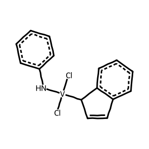 [Cl][V]([Cl])([NH]c1ccccc1)[CH]1C=Cc2ccccc21